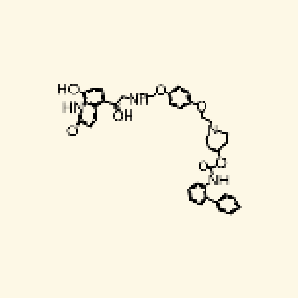 O=C(Nc1ccccc1-c1ccccc1)OC1CCN(CCOc2ccc(OCCNC[C@@H](O)c3ccc(O)c4[nH]c(=O)ccc34)cc2)CC1